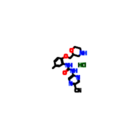 Cc1ccc(OCC2CNCCO2)c(NC(=O)Nc2cnc(C#N)cn2)c1.Cl